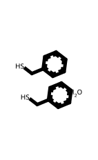 O.SCc1ccccc1.SCc1ccccc1